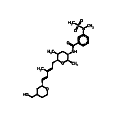 CC(/C=C/[C@@H]1CC(CO)CCO1)=C\C[C@@H]1O[C@H](C)[C@H](NC(=O)c2cccc(N(C)S(C)(=O)=O)c2)C[C@@H]1C